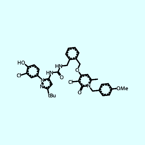 COc1ccc(Cn2c(C)cc(OCc3ccccc3CNC(=O)Nc3cc(C(C)(C)C)nn3-c3ccc(O)c(Cl)c3)c(Cl)c2=O)cc1